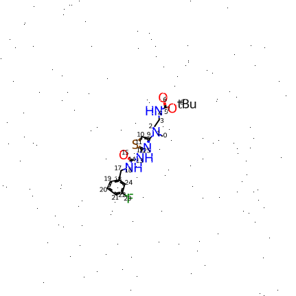 CN(CCNC(=O)OC(C)(C)C)c1csc(NC(=O)NCc2cccc(F)c2)n1